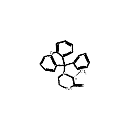 C[C@@H]1C(=O)NCCN1C(c1ccccc1)(c1ccccc1)c1ccccc1Cl